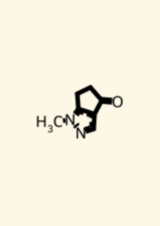 Cn1ncc2c1CCC2=O